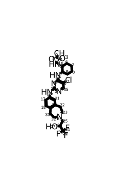 CS(=O)(=O)N[C@@H]1CCCC[C@H]1Nc1nc(Nc2ccc3c(c2)CCN(CC(O)C(F)(F)F)CC3)ncc1Cl